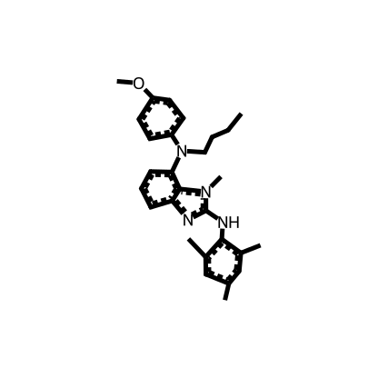 CCCCN(c1ccc(OC)cc1)c1cccc2nc(Nc3c(C)cc(C)cc3C)n(C)c12